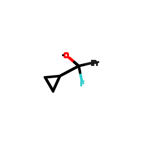 CC(C)C([O])(F)C1CC1